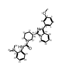 COc1cccc(-c2nc([C@@H]3CCCN(C(=O)Nc4ccccc4N(C)C)C3)n3ccccc23)c1